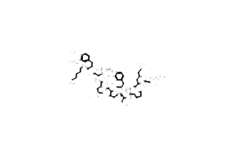 CNC(C)C(=O)NC(CCCCN)C(=O)N1CCCC1C(=O)NC(CO)C(=O)NC(Cc1ccc(O)cc1)C(=O)N1CCC(O)C1C(=O)N1CC(O)CC1C(=O)NC(C(=O)NC(Cc1ccc(O)c(O)c1)C(=O)NC(CCCCN)C(=O)O)C(C)O